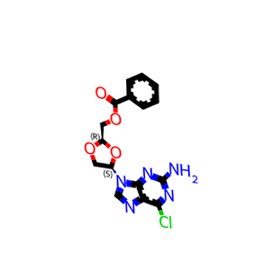 Nc1nc(Cl)c2ncn([C@@H]3CO[C@@H](COC(=O)c4ccccc4)O3)c2n1